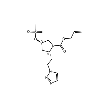 C=CCOC(=O)N1C[C@H](OS(C)(=O)=O)C[C@H]1CCn1ccnn1